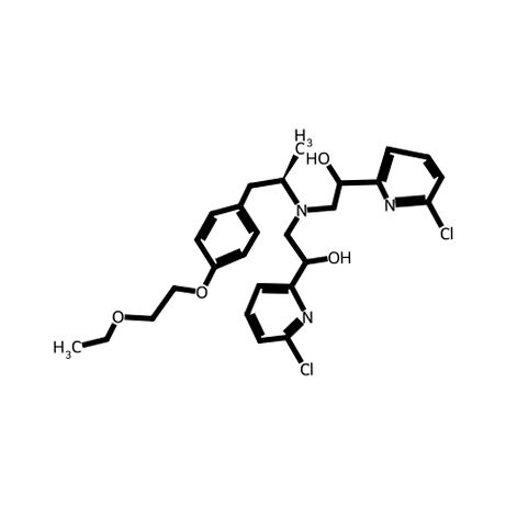 CCOCCOc1ccc(C[C@@H](C)N(CC(O)c2cccc(Cl)n2)CC(O)c2cccc(Cl)n2)cc1